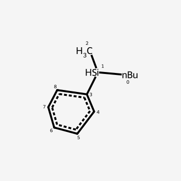 CCCC[SiH](C)c1ccccc1